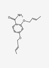 C/C=C/COc1ccc(C(N)=O)c(OC/C=C/C)c1